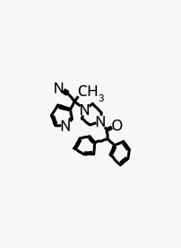 CC(C#N)(c1cccnc1)N1CCN(C(=O)C(c2ccccc2)c2ccccc2)CC1